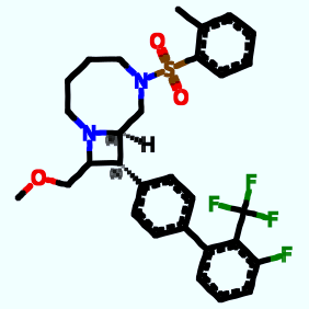 COCC1[C@@H](c2ccc(-c3cccc(F)c3C(F)(F)F)cc2)[C@@H]2CN(S(=O)(=O)c3ccccc3C)CCCCN12